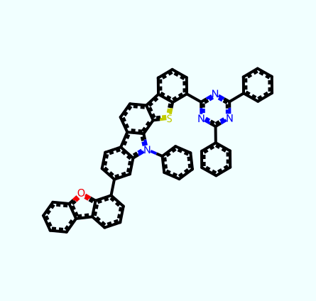 c1ccc(-c2nc(-c3ccccc3)nc(-c3cccc4c3sc3c4ccc4c5ccc(-c6cccc7c6oc6ccccc67)cc5n(-c5ccccc5)c43)n2)cc1